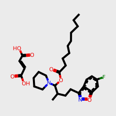 CCCCCCCCCC(=O)OC(C(C)CCc1noc2cc(F)ccc12)N1CCCCC1.O=C(O)C=CC(=O)O